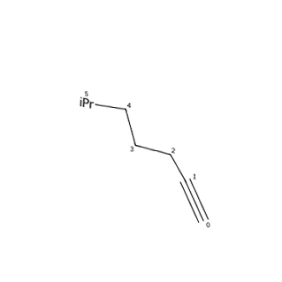 C#CCCCC([CH2])C